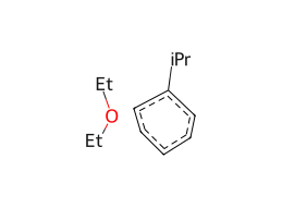 CC(C)c1ccccc1.CCOCC